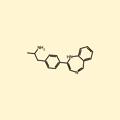 CC(N)Cc1ccc(C2=CN=Cc3ccccc3N2)cc1